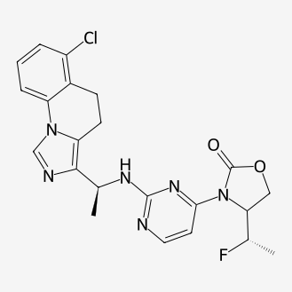 C[C@H](Nc1nccc(N2C(=O)OCC2[C@H](C)F)n1)c1ncn2c1CCc1c(Cl)cccc1-2